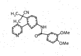 COc1ccc(C(=O)Nc2ccc(C(C)(C)C#N)c(-c3cccnc3)c2)cc1OC